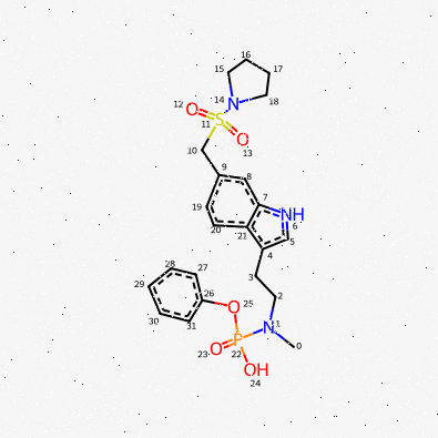 CN(CCc1c[nH]c2cc(CS(=O)(=O)N3CCCC3)ccc12)P(=O)(O)Oc1ccccc1